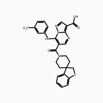 Cc1cccc(Nc2c(C(=O)N3CCC4(CC3)COc3ccccc34)cnc3c(C(=O)O)cnn23)c1